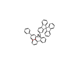 c1ccc(-c2cccc(N(c3ccc4c(c3)C3(c5ccccc5-c5ccccc53)c3ccccc3-4)c3ccccc3-c3ccccc3)c2)cc1